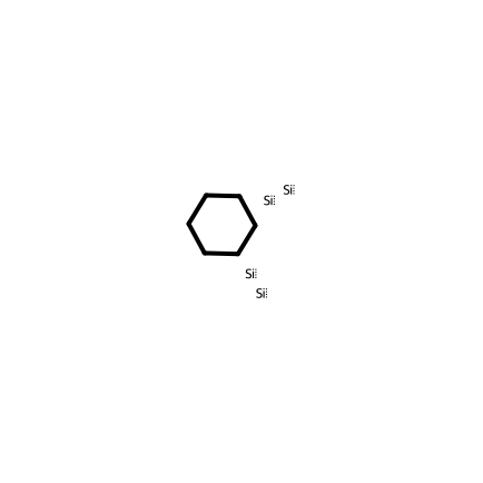 C1CCCCC1.[Si].[Si].[Si].[Si]